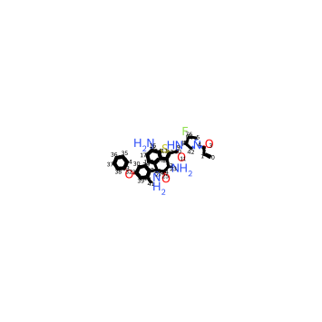 C=CC(=O)N1C[C@@H](F)[C@@H](NC(=O)c2sc3c(N)ccc4c3c2C(N)C(=O)C4(N)c2ccc(Oc3ccccc3)cc2C)C1